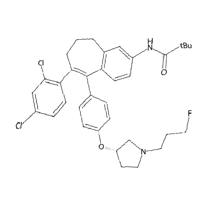 CC(C)(C)C(=O)Nc1ccc2c(c1)CCCC(c1ccc(Cl)cc1Cl)=C2c1ccc(O[C@H]2CCN(CCCF)C2)cc1